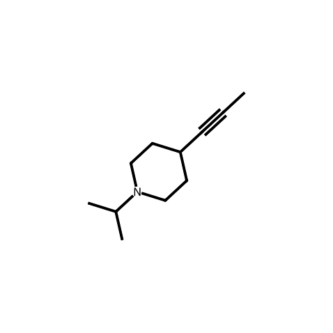 CC#CC1CCN(C(C)C)CC1